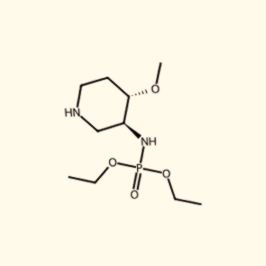 CCOP(=O)(N[C@H]1CNCC[C@@H]1OC)OCC